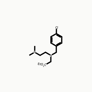 CCOC(=O)CN(CCN(C)C)Cc1ccc(Cl)cc1